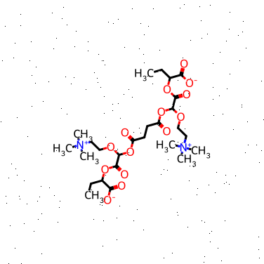 CCC(OC(=O)C(OCC[N+](C)(C)C)OC(=O)CCC(=O)OC(OCC[N+](C)(C)C)C(=O)OC(CC)C(=O)[O-])C(=O)[O-]